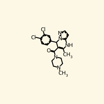 CC1=C(C(=O)N2CCN(C)CC2)C(c2ccc(Cl)c(Cl)c2)n2nccc2N1